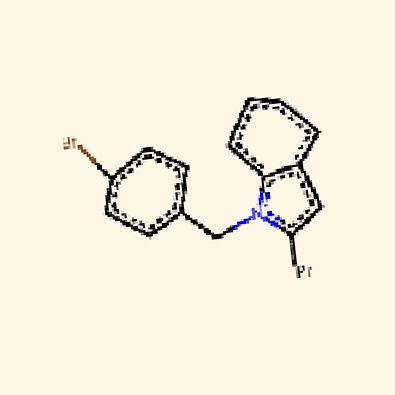 CC(C)c1cc2ccccc2n1Cc1ccc(Br)cc1